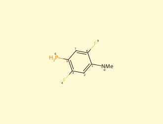 CNc1cc(F)c(P)cc1F